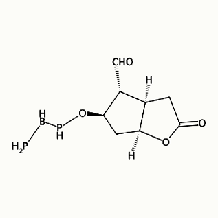 O=C[C@@H]1[C@H]2CC(=O)O[C@H]2C[C@H]1OPBP